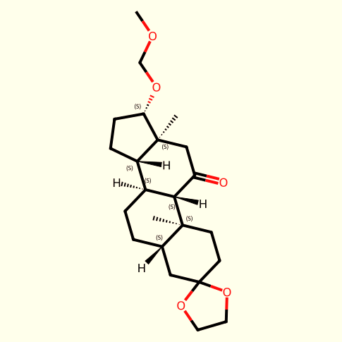 COCO[C@H]1CC[C@H]2[C@@H]3CC[C@H]4CC5(CC[C@]4(C)[C@H]3C(=O)C[C@]12C)OCCO5